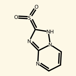 O=S(=O)=c1nc2ncccn2[nH]1